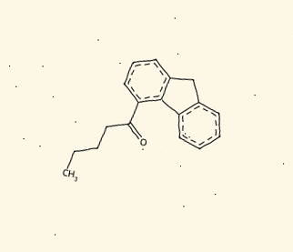 CCCCC(=O)c1cccc2c1-c1ccccc1C2